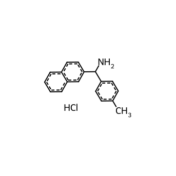 Cc1ccc(C(N)c2ccc3ccccc3c2)cc1.Cl